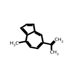 C=C(C)c1ccc(C)c2cccc-2c1